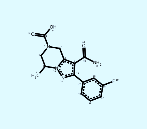 CC1CN(C(=O)O)Cc2c(C(N)=O)c(-c3cccc(F)c3)nn21